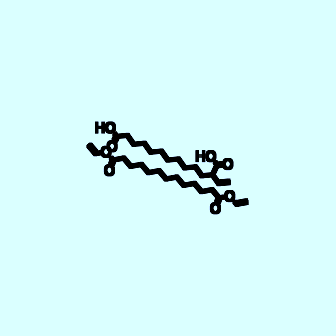 C=CC(CCCCCCCCCCC(=O)O)C(=O)O.C=COC(=O)CCCCCCCCCCCC(=O)OC=C